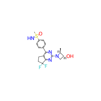 C[C@H]1[C@H](O)CN1c1nc(-c2ccc(S(C)(=N)=O)cc2)c2c(n1)C(F)(F)CC2